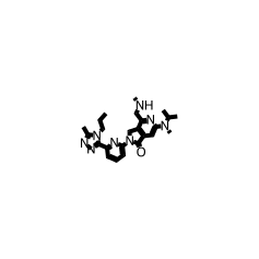 CCCn1c(C)nnc1-c1cccc(N2Cc3c(cc(N(C)C(C)C)nc3CNC)C2=O)n1